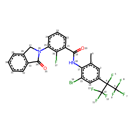 Cc1cc(C(F)(C(F)(F)F)C(F)(F)F)cc(Br)c1NC(=O)c1cccc(N2Cc3ccccc3C2=O)c1F